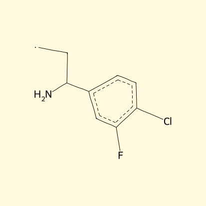 [CH2]CC(N)c1ccc(Cl)c(F)c1